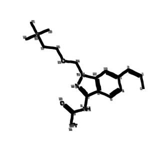 C/C=C\c1ccc2c(NC(=O)CCC)nn(COCC[Si](C)(C)C)c2c1